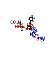 CCNC(=O)Nc1ncnc2c1ncn2[C@@H]1O[C@H](COP(=O)(O)CCC(=O)O)C2O[C@@H](c3ccccc3)O[C@@H]21